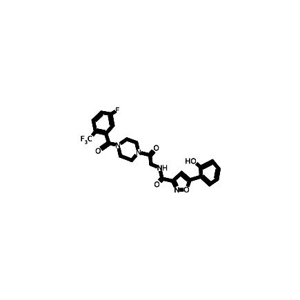 O=C(NCC(=O)N1CCN(C(=O)c2cc(F)ccc2C(F)(F)F)CC1)c1cc(-c2ccccc2O)on1